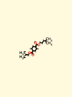 CC(C)CCCOC(=O)C1CCC(C(=O)OCC(C)C)CC1